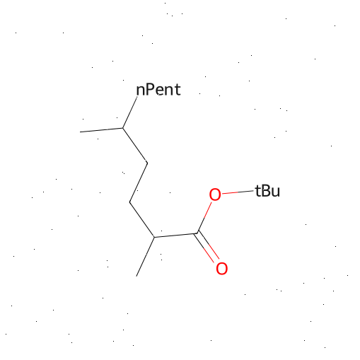 CCCCCC(C)CCC(C)C(=O)OC(C)(C)C